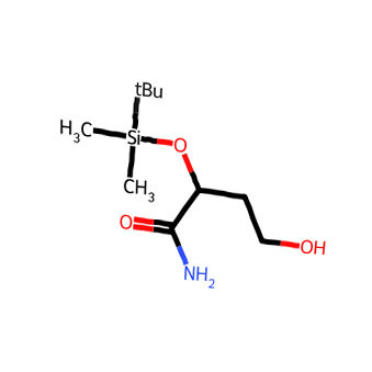 CC(C)(C)[Si](C)(C)OC(CCO)C(N)=O